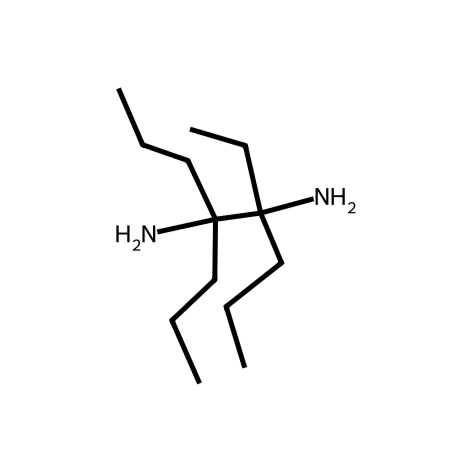 CCCC(N)(CC)C(N)(CCC)CCC